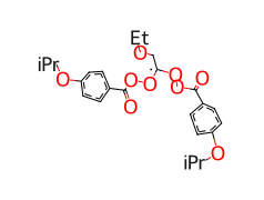 [CH2]COC[C](OOC(=O)c1ccc(OC(C)C)cc1)OOC(=O)c1ccc(OC(C)C)cc1